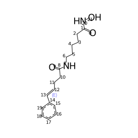 O=C(CCCCCNC(=O)CC/C=C/c1ccccc1)NO